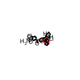 Cc1nc2ccccc2n1[C@H]1C[C@H]2CC[C@@H](C1)N2CCC1(c2cccc(Cl)c2)CCN(C(=O)c2ccc(Cl)c(S(N)(=O)=O)c2)CC1